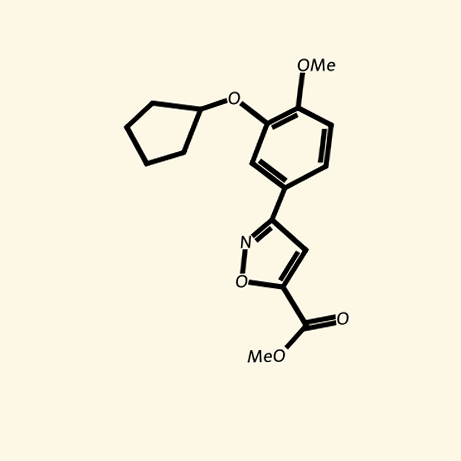 COC(=O)c1cc(-c2ccc(OC)c(OC3CCCC3)c2)no1